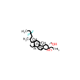 CCC(F)(F)C[C@@H](C)[C@H]1CC[C@H]2[C@@H]3CC=C4C[C@](O)(CC)[C@@H](CO)C[C@]4(C)[C@H]3CC[C@]12C